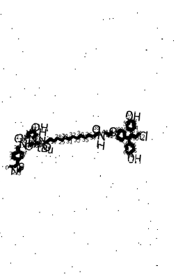 Cc1ncsc1-c1ccc(CNC(=O)[C@@H]2C[C@@H](O)CN2C(=O)[C@@H](NC(=O)CCCCCCCCCCCCC(=O)NCCOc2ccc(C(=C(CCCl)c3ccc(O)cc3)c3ccc(O)cc3)cc2)C(C)(C)C)cc1